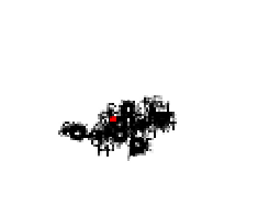 COc1ccc(CCS(=O)(=O)Nc2nn(CC(F)F)c3c(-n4c([C@H](Cc5cc(F)cc(F)c5)NC(=O)Cn5nc(C(F)F)c6c5C(F)(F)[C@@H]5C[C@H]65)nc5ncccc5c4=O)ccc(Cl)c23)cc1